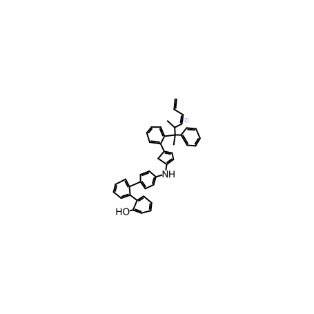 C=C/C=C\C(C)C(C)(c1ccccc1)c1ccccc1C1=CC=C(Nc2ccc(-c3ccccc3-c3ccccc3O)cc2)C1